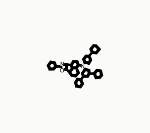 c1ccc(-c2ccc(N(c3cc(-c4ccccc4)cc(-c4ccccc4)c3)c3ccc4c5c(cccc35)-c3oc(-c5ccccc5)nc3-4)cc2)cc1